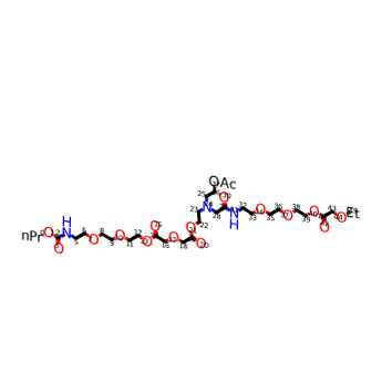 CCCOC(=O)NCCOCCOCCOC(=O)COCC(=O)OCCN(CCOC(C)=O)CC(=O)NCCOCCOCCOC(=O)COCC